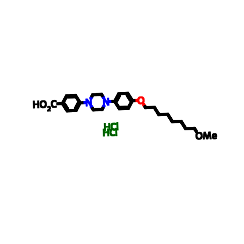 COCCCCCCCCOc1ccc(N2CCN(c3ccc(C(=O)O)cc3)CC2)cc1.Cl.Cl